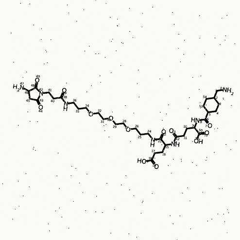 NCC1CCC(C(=O)NC(CCC(=O)NC(CCC(=O)O)C(=O)NCCCOCCOCCOCCCNC(=O)CCN2C(=O)CC(N)C2=O)C(=O)O)CC1